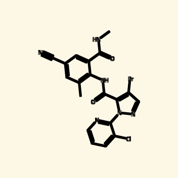 CNC(=O)c1cc(C#N)cc(C)c1NC(=O)c1c(Br)cnn1-c1ncccc1Cl